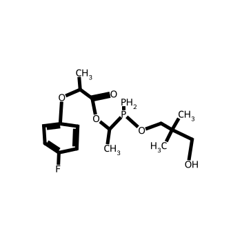 CC(Oc1ccc(F)cc1)C(=O)OC(C)P(P)OCC(C)(C)CO